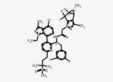 Cc1nn(CC(F)(F)F)c2c(-c3ccc(CCC(C)(C)S(C)(=O)=O)nc3[C@H](Cc3cc(F)cc(F)c3)NC(=O)Cn3nc(C(F)(F)F)c4c3C(F)(F)[C@H]3C4[C@H]3C)ccc(Cl)c12